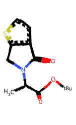 CC(C(=O)OC(C)(C)C)N1Cc2sccc2C1=O